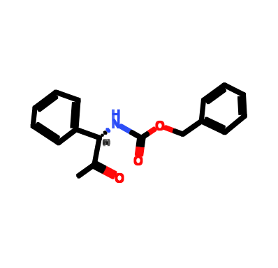 CC(=O)[C@@H](NC(=O)OCc1ccccc1)c1ccccc1